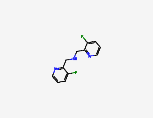 Fc1cccnc1CNCc1ncccc1F